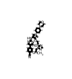 C[C@@H](Cn1cncn1)Oc1cc(-c2cnc(Nc3cn([C@H]4CC[C@H](N5CCOCC5)CC4)nc3OCCO)nc2)ccc1C#N